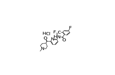 CN1CCC(C(=O)c2cccc(NC(=O)c3ccc(F)cc3C(F)(F)F)n2)CC1.Cl